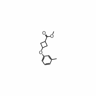 COC(=O)C1CC(Oc2cccc(C)c2)C1